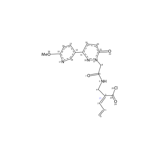 C=C/C=C(/CNC(=O)Cn1nc(-c2ccc(OC)nc2)ccc1=O)C(=O)Cl